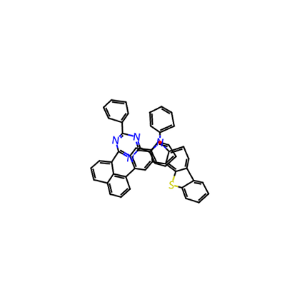 c1ccc(-c2nc(-c3ccccc3)nc(-c3cccc4cccc(-c5ccc6c(c5)c5c7sc8ccccc8c7ccc5n6-c5ccccc5)c34)n2)cc1